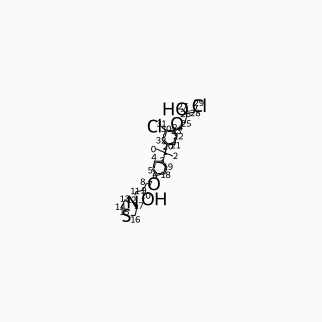 CC(C)(c1ccc(OC[C@H](O)CN2CCSCC2)cc1)c1ccc(OC[C@@H](O)CCl)c(Cl)c1